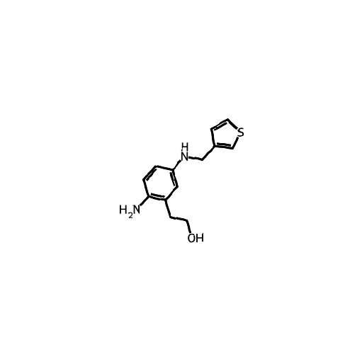 Nc1ccc(NCc2ccsc2)cc1CCO